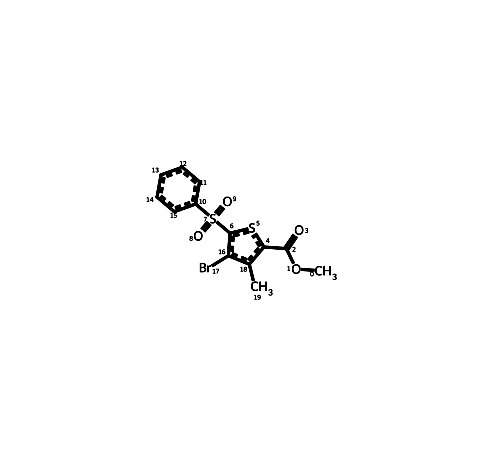 COC(=O)c1sc(S(=O)(=O)c2ccccc2)c(Br)c1C